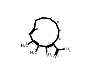 CC(=O)/C1=C(C)/C(C)=C(C)\C=C\CCCCCC1